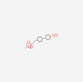 CC12COC(CCc3ccc(-c4ccc(P(C)(C)=O)cc4)cc3)(OC1)O2